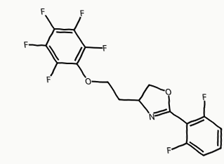 Fc1cccc(F)c1C1=NC(CCOc2c(F)c(F)c(F)c(F)c2F)CO1